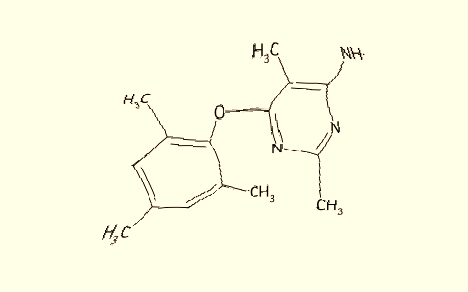 Cc1cc(C)c(Oc2nc(C)nc([NH])c2C)c(C)c1